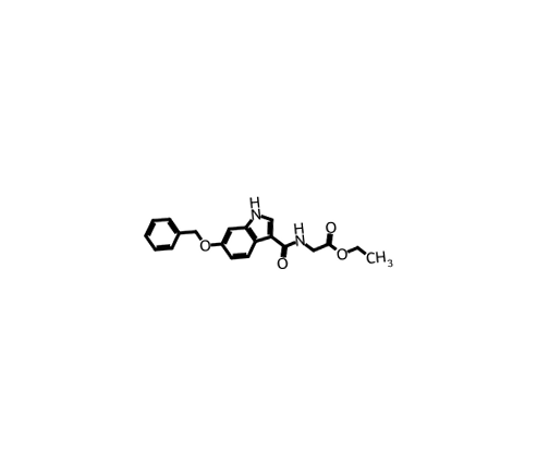 CCOC(=O)CNC(=O)c1c[nH]c2cc(OCc3ccccc3)ccc12